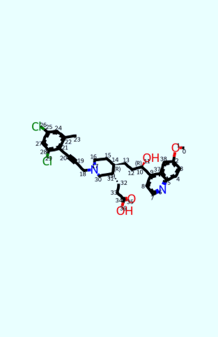 COc1ccc2nccc([C@H](O)CC[C@@H]3CCN(CC#Cc4c(C)cc(Cl)cc4Cl)C[C@H]3CCC(=O)O)c2c1